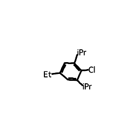 CCc1cc(C(C)C)c(Cl)c(C(C)C)c1